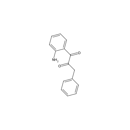 Nc1ccccc1C(=O)C(=O)Cc1ccccc1